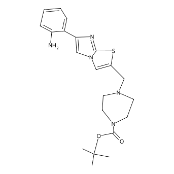 CC(C)(C)OC(=O)N1CCN(Cc2cn3cc(-c4ccccc4N)nc3s2)CC1